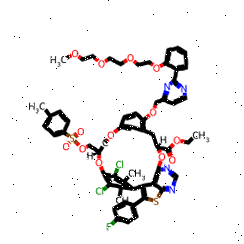 CCOC(=O)[C@H]1Cc2cc(ccc2OCc2ccnc(-c3ccccc3OCCOCCOCCOC)n2)OC[C@@H](COS(=O)(=O)c2ccc(C)cc2)Oc2c(Cl)c(C)c(c(C)c2Cl)-c2c(-c3ccc(F)cc3)sc3ncnc(c23)O1